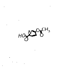 CC(=O)Oc1ccc(C(=O)O)nc1